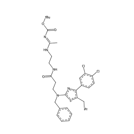 C/C(=N\C(=O)OC(C)(C)C)NCCNC(=O)CCN(Cc1ccccc1)c1nc(-c2ccc(Cl)c(Cl)c2)c(CC(C)C)s1